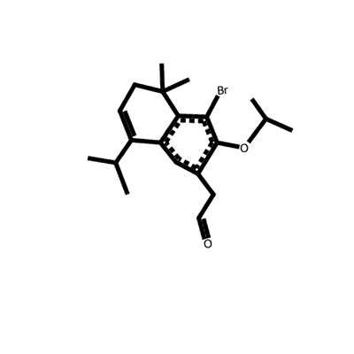 CC(C)Oc1c(CC=O)cc2c(c1Br)C(C)(C)CC=C2C(C)C